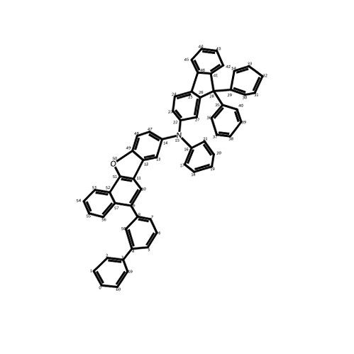 c1ccc(-c2cccc(-c3cc4c5cc(N(c6ccccc6)c6ccc7c(c6)C(c6ccccc6)(c6ccccc6)c6ccccc6-7)ccc5oc4c4ccccc34)c2)cc1